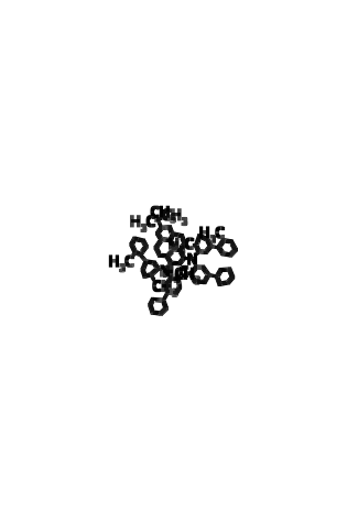 Cc1ccccc1-c1ccc(C)c(N(c2cc(-c3ccccc3)ccc2C)c2cc(N(c3cc(-c4ccccc4)ccc3C)c3cc(-c4ccccc4C)ccc3C)c3ccc4cc(C(C)(C)C)cc5ccc2c3c54)c1